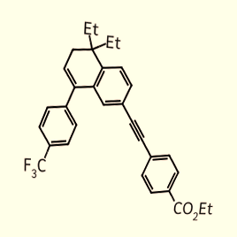 CCOC(=O)c1ccc(C#Cc2ccc3c(c2)C(c2ccc(C(F)(F)F)cc2)=CCC3(CC)CC)cc1